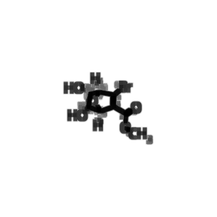 COC(=O)C1=C(Br)[C@H]2O[C@@H]1[C@H](O)[C@@H]2O